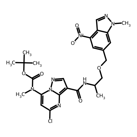 CC(COCc1cc([N+](=O)[O-])c2cnn(C)c2c1)NC(=O)c1cnn2c(N(C)C(=O)OC(C)(C)C)cc(Cl)nc12